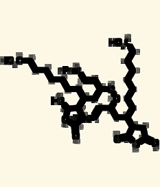 CCCCC/C=C/C(CC(CCCCCCCC(=O)O)C1CC(=O)OC1=O)OOC(/C=C/CCCCC)CC(CCCCCCCC(=O)O)C1CC(=O)OC1O